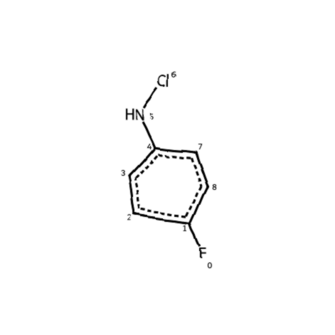 Fc1ccc(NCl)cc1